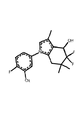 Cc1cn(-c2ccc(F)c(C#N)c2)c2c1C(O)C(F)(F)C(C)(C)C2